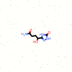 NC(=O)CCC(O)c1n[nH]c(=O)[nH]1